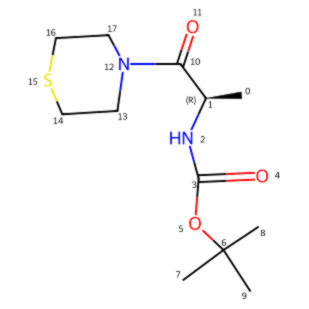 C[C@@H](NC(=O)OC(C)(C)C)C(=O)N1CCSCC1